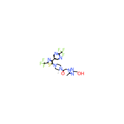 Cc1nc(CO)nn1CC(=O)N1CCN(c2sc(C(F)(F)F)nc2-c2cnc(C(F)(F)F)nc2)C[C@H]1C